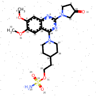 COc1cc2nc(N3CCC(=O)C3)nc(N3CCC(CCOS(N)(=O)=O)CC3)c2cc1OC